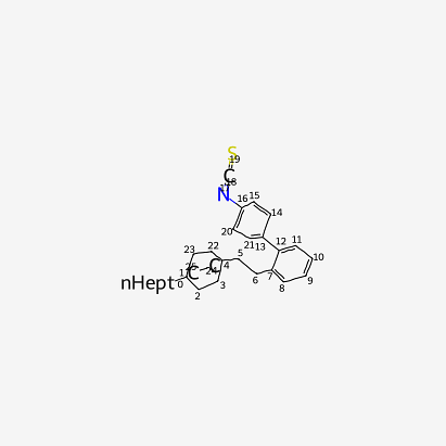 CCCCCCCC12CCC(CCc3ccccc3-c3ccc(N=C=S)cc3)(CC1)CC2